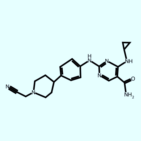 N#CCN1CCC(c2ccc(Nc3ncc(C(N)=O)c(NC4CC4)n3)cc2)CC1